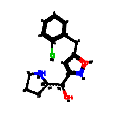 O[C@H](c1cc(Cc2ccccc2Cl)on1)[C@@H]1CCCN1